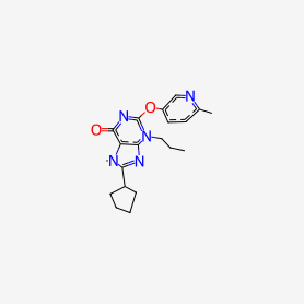 CCCn1c(Oc2ccc(C)nc2)nc(=O)c2c1N=C(C1CCCC1)[N]2